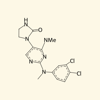 CNc1nc(N(C)c2ccc(Cl)c(Cl)c2)ncc1N1CCNC1=O